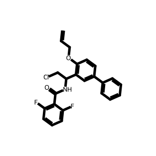 C=CCOc1ccc(-c2ccccc2)cc1C(CCl)NC(=O)c1c(F)cccc1F